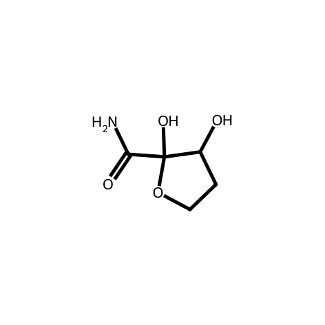 NC(=O)C1(O)OCCC1O